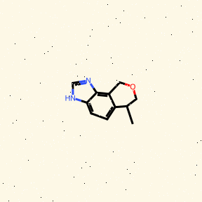 CC1COCc2c1ccc1[nH]cnc21